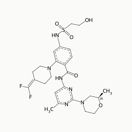 Cc1cc(NC(=O)c2ccc(NS(=O)(=O)CCO)cc2N2CCC(=C(F)F)CC2)nc(N2CCO[C@H](C)C2)n1